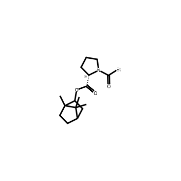 CCC(=O)N1CCC[C@H]1C(=O)OC1CC2CCC1(C)C2(C)C